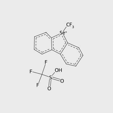 FC(F)(F)[se+]1c2ccccc2c2ccccc21.O=S(=O)(O)C(F)(F)F